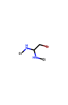 CCNC(CBr)NCC